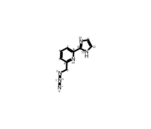 [N-]=[N+]=NCc1cccc(-c2ncc[nH]2)n1